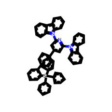 c1ccc([Si](c2ccccc2)(c2ccccc2)c2ccccc2-c2ccc(-c3cc(-n4c5ccccc5c5ccccc54)nc(-n4c5ccccc5c5ccccc54)c3)cc2)cc1